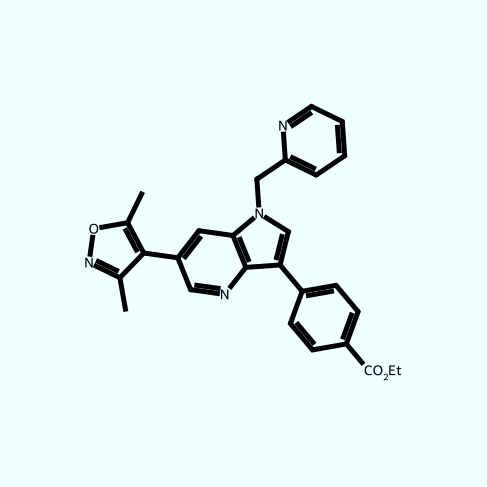 CCOC(=O)c1ccc(-c2cn(Cc3ccccn3)c3cc(-c4c(C)noc4C)cnc23)cc1